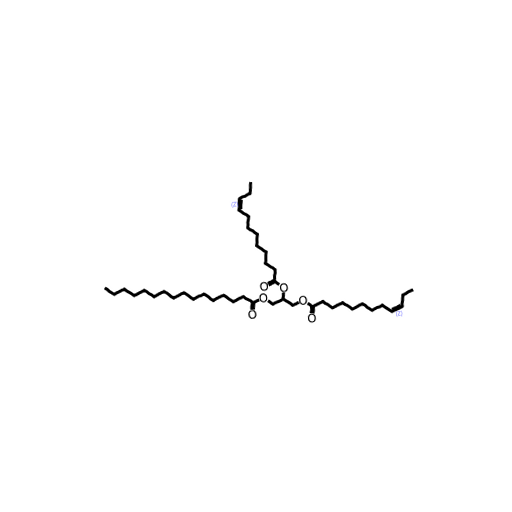 CC/C=C\CCCCCCCC(=O)OCC(COC(=O)CCCCCCCCCCCCCCC)OC(=O)CCCCCCC/C=C\CC